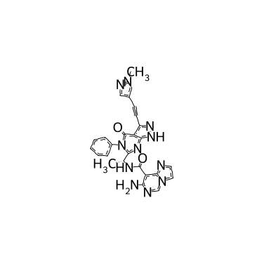 C[C@@H](NC(=O)c1c(N)ncn2ccnc12)c1nc2[nH]nc(C#Cc3cnn(C)c3)c2c(=O)n1-c1ccccc1